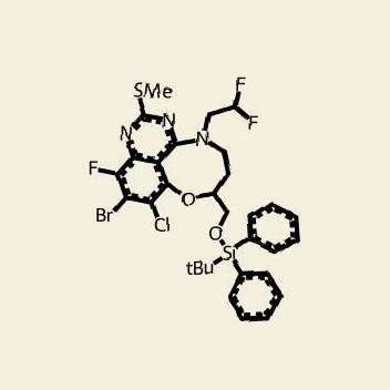 CSc1nc2c3c(c(Cl)c(Br)c(F)c3n1)OC(CO[Si](c1ccccc1)(c1ccccc1)C(C)(C)C)CCN2CC(F)F